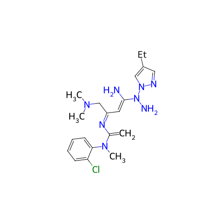 C=C(/N=C(\C=C(/N)N(N)n1cc(CC)cn1)CN(C)C)N(C)c1ccccc1Cl